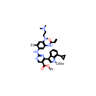 C=CC(=O)Nc1cc(Nc2ncc(C(=O)OC(C)C)c(-c3cn(OC)c4c(C5CC5)cccc34)n2)c(CC)cc1N(C)CCN(C)C